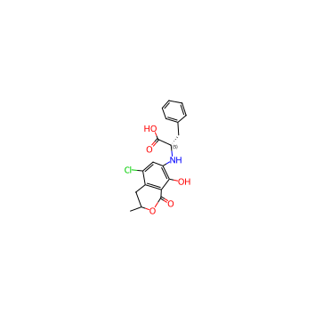 CC1Cc2c(Cl)cc(N[C@@H](Cc3ccccc3)C(=O)O)c(O)c2C(=O)O1